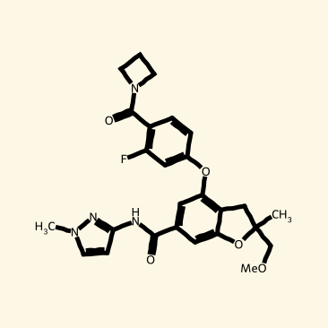 COCC1(C)Cc2c(Oc3ccc(C(=O)N4CCC4)c(F)c3)cc(C(=O)Nc3ccn(C)n3)cc2O1